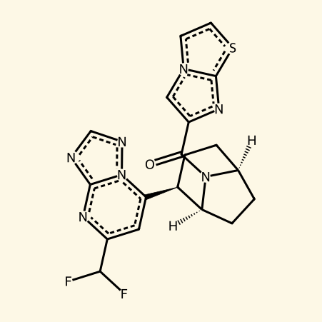 O=C(c1cn2ccsc2n1)N1[C@H]2CC[C@H](c3cc(C(F)F)nc4ncnn34)[C@@H]1CC2